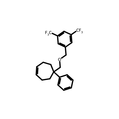 FC(F)(F)c1cc(COCC2(c3ccccc3)CCC=CCC2)cc(C(F)(F)F)c1